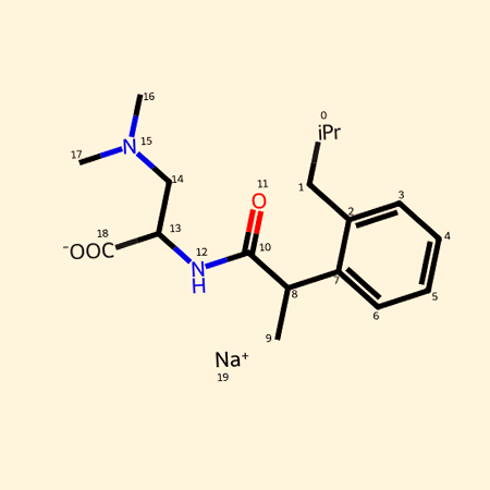 CC(C)Cc1ccccc1C(C)C(=O)NC(CN(C)C)C(=O)[O-].[Na+]